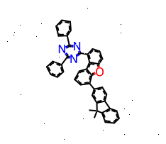 CC1(C)c2ccccc2-c2ccc(-c3cccc4c3oc3cccc(-c5nc(-c6ccccc6)nc(-c6ccccc6)n5)c34)cc21